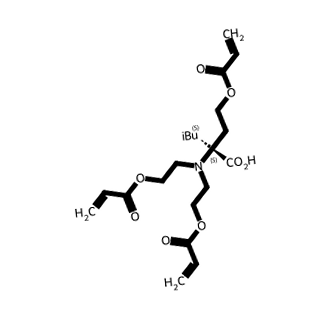 C=CC(=O)OCCN(CCOC(=O)C=C)[C@](CCOC(=O)C=C)(C(=O)O)[C@@H](C)CC